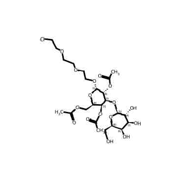 CC(=O)OC[C@H]1O[C@H](OCCOCCOCCCl)[C@H](OC(C)=O)[C@@H](O[C@@H]2O[C@H](CO)[C@H](O)[C@H](O)[C@H]2O)[C@H]1OC(C)=O